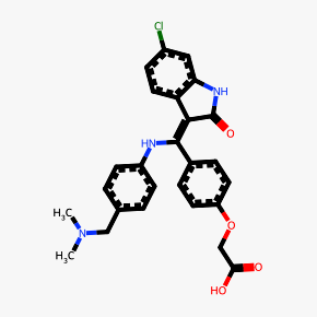 CN(C)Cc1ccc(NC(=C2C(=O)Nc3cc(Cl)ccc32)c2ccc(OCC(=O)O)cc2)cc1